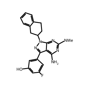 CNc1nc(N)c2c(-c3cc(O)cc(F)c3)nn(C3CCc4ccccc4C3)c2n1